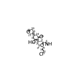 CCCC(CC(C=N)OCC=CCl)C1=C(O)CC(C2CCCOC2)CC1=O